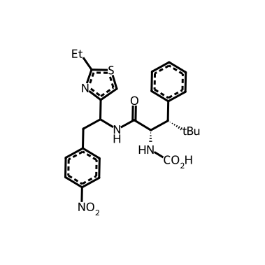 CCc1nc(C(Cc2ccc([N+](=O)[O-])cc2)NC(=O)[C@@H](NC(=O)O)[C@H](c2ccccc2)C(C)(C)C)cs1